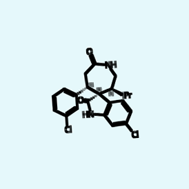 CC(C)[C@@H]1CNC(=O)C[C@@H](c2cccc(Cl)c2)[C@@]12C(=O)Nc1cc(Cl)ccc12